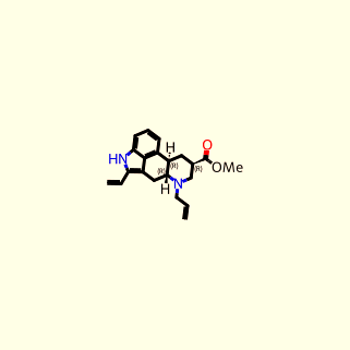 C=CCN1C[C@H](C(=O)OC)C[C@@H]2c3cccc4[nH]c(C=C)c(c34)C[C@H]21